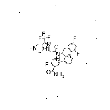 CN1CCc2c(c(C(F)(F)F)nn2CC(=O)NC(Cc2cc(F)cc(F)c2)c2ncccc2-c2ccc(F)c(C(N)=O)c2)C1